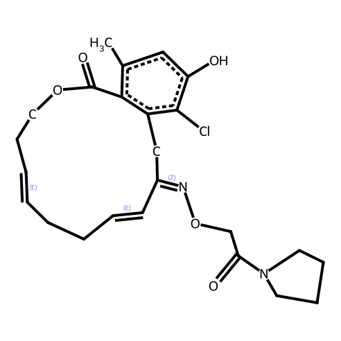 Cc1cc(O)c(Cl)c2c1C(=O)OCC/C=C/CC/C=C/C(=N\OCC(=O)N1CCCC1)C2